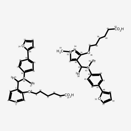 [2H]C(c1ccncc1OCCCCCC(=O)O)N(c1ccc(-c2ccco2)cc1)C(C)C.[2H]C(c1cn(C)nc1OCCCCCC(=O)O)N(c1ccc(-c2ccco2)cc1)C(C)C